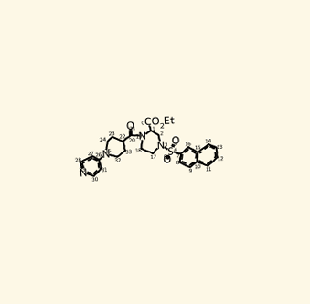 CCOC(=O)C1CN(S(=O)(=O)c2ccc3ccccc3c2)CCN1C(=O)C1CCN(c2ccncc2)CC1